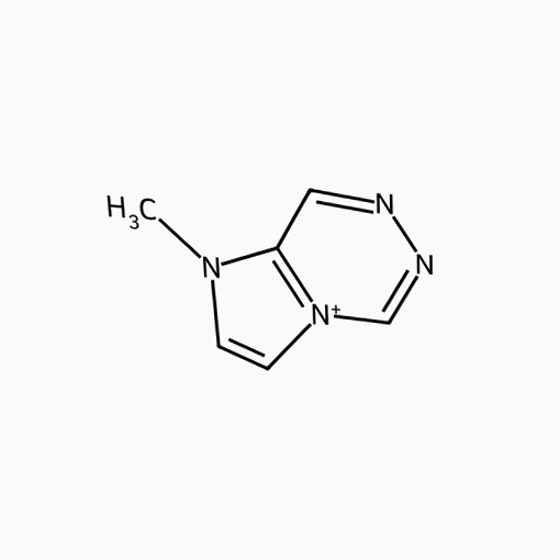 Cn1cc[n+]2cnncc12